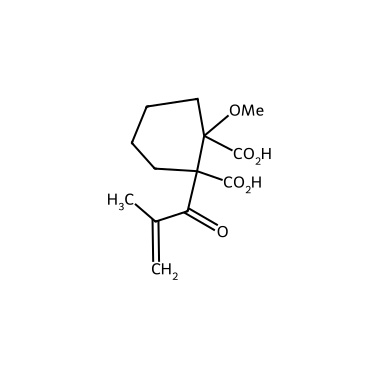 C=C(C)C(=O)C1(C(=O)O)CCCCC1(OC)C(=O)O